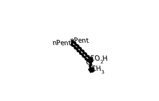 CCCCCC=CCC=CCCCCCCCCOC(CCC1CCCN1C)CN(CCCCCCCCC=CCC=CCCCCC)C(=O)O